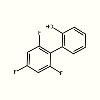 Oc1ccc[c]c1-c1c(F)cc(F)cc1F